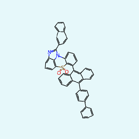 O=S1(=O)c2c(-c3c4ccccc4c(-c4ccc(-c5ccccc5)cc4)c4ccccc34)cccc2-n2c(-c3ccc4ccccc4c3)nc3cccc1c32